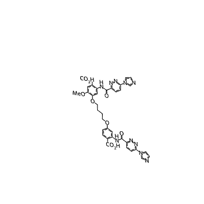 COc1cc(C(=O)O)c(NC(=O)c2ccc(-n3ccnc3)nn2)cc1OCCCCOc1ccc(C(=O)O)c(NC(=O)c2ccc(-n3ccnc3)nn2)c1